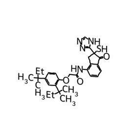 CCC(C)(C)c1ccc(OCC(=O)Nc2cccc3c2CC(S)(c2nnc[nH]2)C3=O)c(C(C)(C)CC)c1